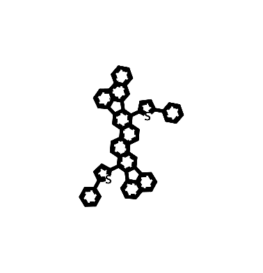 c1ccc(-c2ccc(-c3c4c(cc5c3ccc3c6cc7c(c(-c8ccc(-c9ccccc9)s8)c6ccc53)-c3cc5ccccc5c5cccc-7c35)-c3cccc5cccc-4c35)s2)cc1